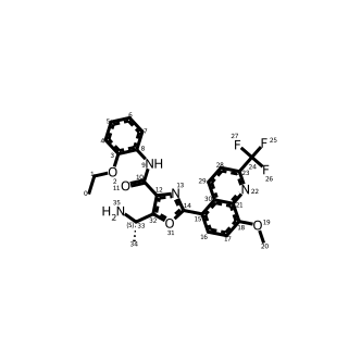 CCOc1ccccc1NC(=O)c1nc(-c2ccc(OC)c3nc(C(F)(F)F)ccc23)oc1[C@H](C)N